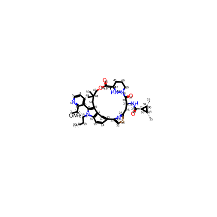 CO[C@@H](C)c1ncccc1-c1c2c3cc(ccc3n1CCC(C)C)-c1csc(n1)C[C@H](NC(=O)[C@H]1[C@H](C)[C@@H]1C)C(=O)N1CCC[C@H](N1)C(=O)OCC(C)(C)C2